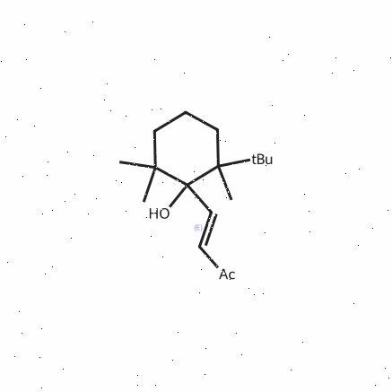 CC(=O)/C=C/C1(O)C(C)(C)CCCC1(C)C(C)(C)C